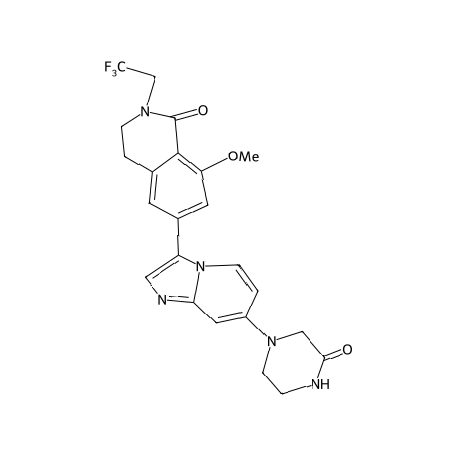 COc1cc(-c2cnc3cc(N4CCNC(=O)C4)ccn23)cc2c1C(=O)N(CC(F)(F)F)CC2